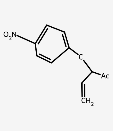 C=CC(Cc1ccc([N+](=O)[O-])cc1)C(C)=O